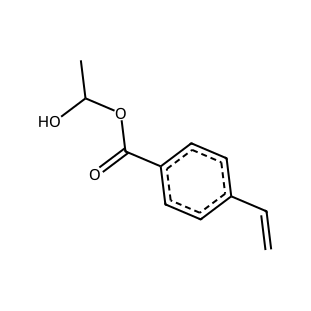 C=Cc1ccc(C(=O)OC(C)O)cc1